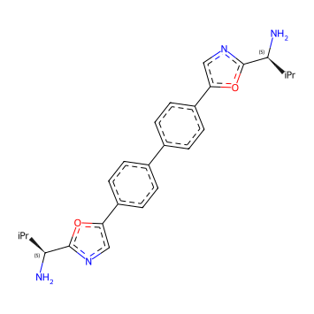 CC(C)[C@H](N)c1ncc(-c2ccc(-c3ccc(-c4cnc([C@@H](N)C(C)C)o4)cc3)cc2)o1